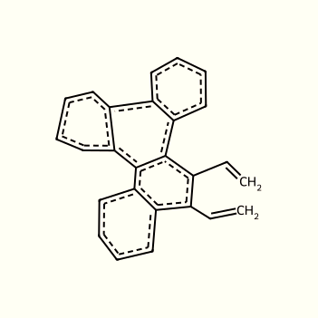 C=Cc1c(C=C)c2c3ccccc3c3ccccc3c2c2ccccc12